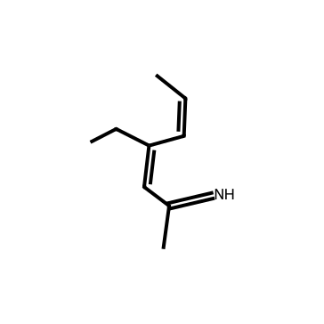 C/C=C\C(=C/C(C)=N)CC